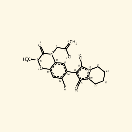 C=C(Cl)CN1C(=O)[C@H](C)Oc2cc(F)c(-c3c(Cl)n4n(c3=O)CCCC4)cc21